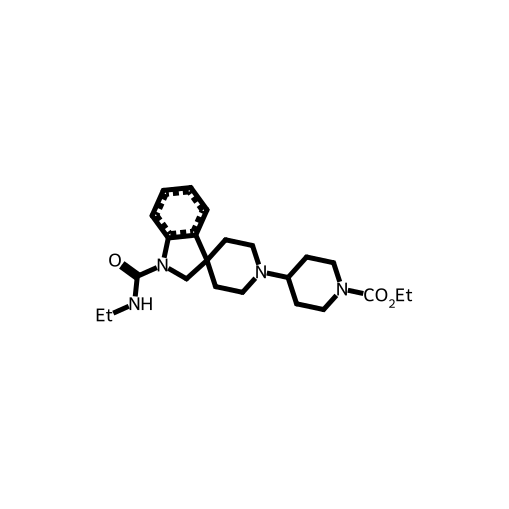 CCNC(=O)N1CC2(CCN(C3CCN(C(=O)OCC)CC3)CC2)c2ccccc21